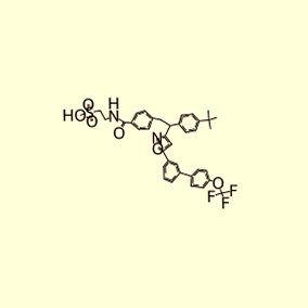 CC(C)(C)c1ccc(C(Cc2ccc(C(=O)NCCS(=O)(=O)O)cc2)c2cc(-c3cccc(-c4ccc(OC(F)(F)F)cc4)c3)on2)cc1